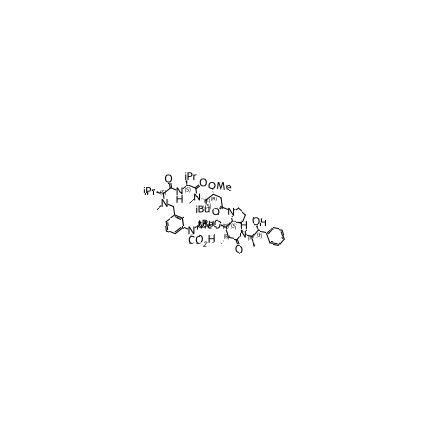 CC[C@H](C)[C@@H]([C@@H](CC(=O)N1CCC[C@H]1[C@H](OC)[C@@H](C)C(=O)N[C@H](C)[C@@H](O)c1ccccc1)OC)N(C)C(=O)[C@@H](NC(=O)[C@H](C(C)C)N(C)Cc1cccc(N(C(=O)O)C(C)(C)C)c1)C(C)C